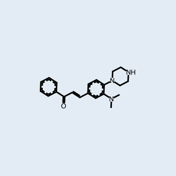 CN(C)c1cc(C=CC(=O)c2ccccc2)ccc1N1CCNCC1